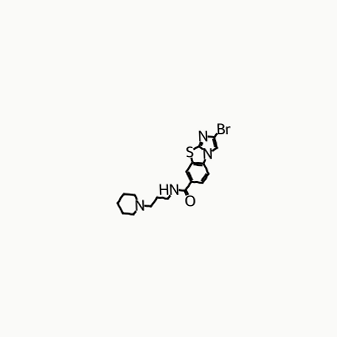 O=C(NCCCN1CCCCC1)c1ccc2c(c1)sc1nc(Br)cn12